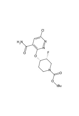 CC(C)(C)OC(=O)N1CC[C@H](Oc2nnc(Cl)cc2C(N)=O)[C@H](F)C1